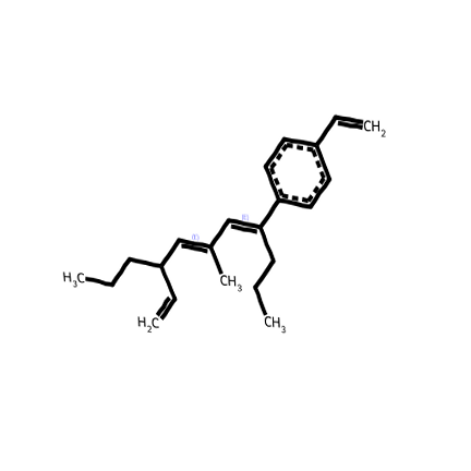 C=Cc1ccc(/C(=C/C(C)=C/C(C=C)CCC)CCC)cc1